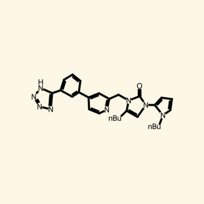 CCCCc1cn(-c2cccn2CCCC)c(=O)n1Cc1cc(-c2cccc(-c3nnn[nH]3)c2)ccn1